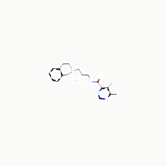 Cc1ncnc(C(=O)NC[C@H](O)CN2CCc3ccccc3C2)c1C